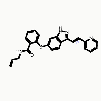 C=CCNC(=O)c1ccccc1Sc1ccc2c(/C=C/c3ccccn3)n[nH]c2c1